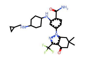 CC1(C)CC(=O)c2c(C(F)(F)F)nn(-c3ccc(C(N)=O)c(NC4CCC(NCC5CC5)CC4)c3)c2C1